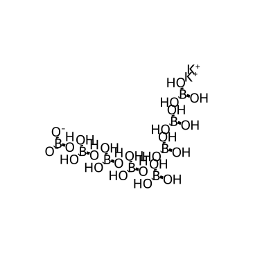 OB(O)O.OB(O)O.OB(O)O.OB(O)O.OB(O)O.OB(O)O.OB(O)O.[K+].[K+].[O-]B([O-])O